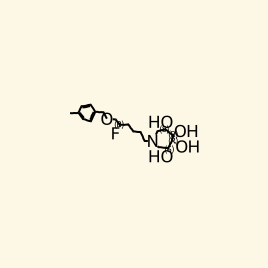 Cc1ccc(COC[C@H](F)CCCCN2C[C@H](O)[C@@H](O)[C@H](O)[C@@H](O)C2)cc1